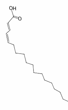 CCCCCCCCCCCCC/C=C\C=C\C(=O)O